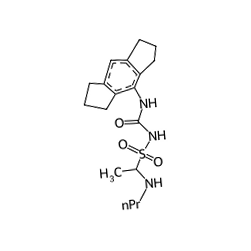 CCCNC(C)S(=O)(=O)NC(=O)Nc1c2c(cc3c1CCC3)CCC2